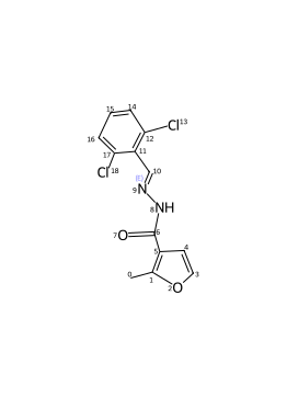 Cc1occc1C(=O)N/N=C/c1c(Cl)cccc1Cl